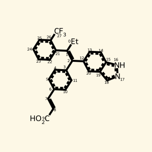 CC/C(=C(/c1ccc(/C=C/C(=O)O)cc1)c1ccc2[nH]ncc2c1)c1ccccc1C(F)(F)F